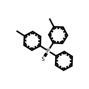 Cc1ccc(P(=S)(c2ccccc2)c2cccc(C)c2)cc1